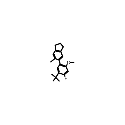 COc1cc(F)c(C(C)(C)C)cc1-c1cc2c(cc1C)CCC2